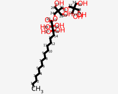 CCCCCCCCCCCCCCCC(O)(O)C(O)(O)C(=O)OCC(CO)(CO)COCC(CO)(CO)CO